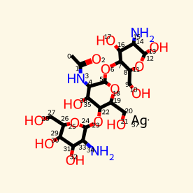 CC(=O)NC1C(OC2C(CO)OC(O)C(N)C2O)OC(CO)C(OC2OC(CO)C(O)C(O)C2N)C1O.[Ag]